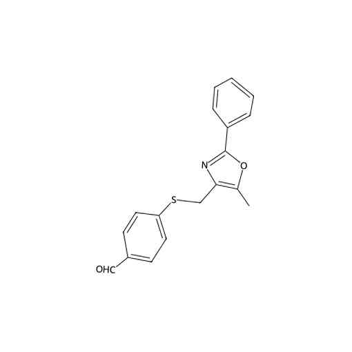 Cc1oc(-c2ccccc2)nc1CSc1ccc(C=O)cc1